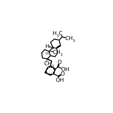 CC(C)C1C=C2CCC3[C@@](C)(Cc4cccc(C(=O)O)c4C(=O)O)CCC[C@]3(C)[C@@H]2CC1